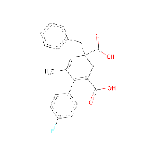 CC1=CC(Cc2ccccc2)(C(=O)O)CC(C(=O)O)=C1c1ccc(F)cc1